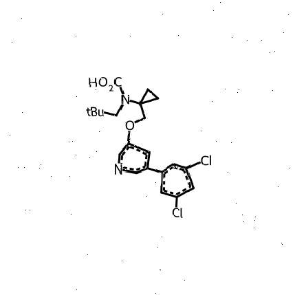 CC(C)(C)CN(C(=O)O)C1(COc2cncc(-c3cc(Cl)cc(Cl)c3)c2)CC1